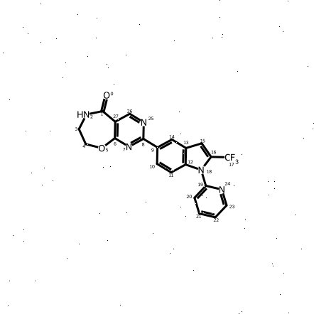 O=C1NCCOc2nc(-c3ccc4c(c3)cc(C(F)(F)F)n4-c3ccccn3)ncc21